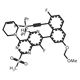 COCOc1cc(-c2nc(C)c3c(N4CC=CCC4)nc(S(C)(=O)=O)nc3c2F)c2c(C#C[Si](C(C)C)(C(C)C)C(C)C)c(F)ccc2c1